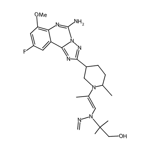 C=NN(/C=C(\C)N1CC(c2nc3c4cc(F)cc(OC)c4nc(N)n3n2)CCC1C)C(C)(C)CO